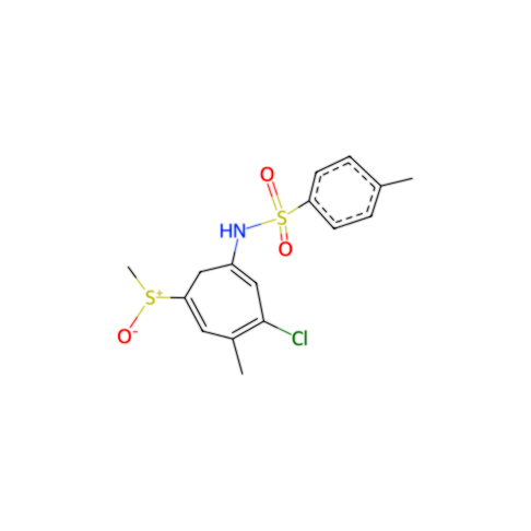 CC1=C(Cl)C=C(NS(=O)(=O)c2ccc(C)cc2)CC([S+](C)[O-])=C1